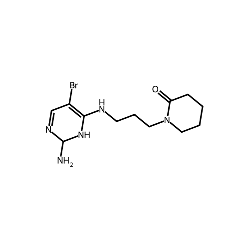 NC1N=CC(Br)=C(NCCCN2CCCCC2=O)N1